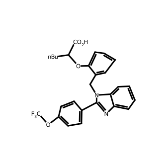 CCCCC(Oc1ccccc1Cn1c(-c2ccc(OC(F)(F)F)cc2)nc2ccccc21)C(=O)O